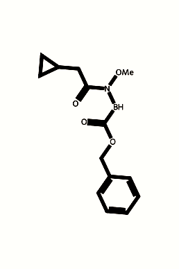 CON(BC(=O)OCc1ccccc1)C(=O)CC1CC1